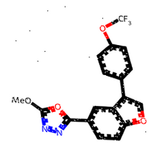 COc1nnc(-c2ccc3occ(-c4ccc(OC(F)(F)F)cc4)c3c2)o1